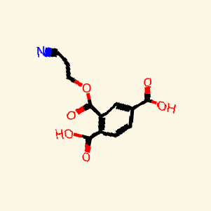 N#CCCOC(=O)c1cc(C(=O)O)ccc1C(=O)O